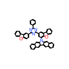 c1ccc(-c2nc(-c3ccc4oc5ccccc5c4c3)nc(-c3cc(-n4c5cc6ccccc6cc5c5cc6ccccc6cc54)c4oc5ccccc5c4c3)n2)cc1